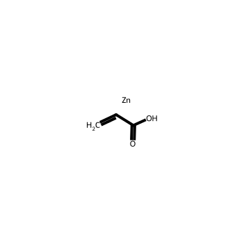 C=CC(=O)O.[Zn]